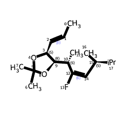 C/C=C/[C@@H]1OC(C)(C)O[C@@H]1[C@H](C)/C(F)=C\[C@@H](C)C(C)C